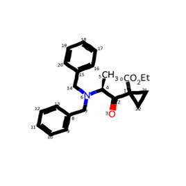 CCOC(=O)C1(C(=O)[C@H](C)N(Cc2ccccc2)Cc2ccccc2)CC1